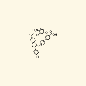 CC(C)N1CCC2(CCC(c3ccc(Cl)cc3)=C(CN3CCN(c4ccc(C(=O)O)c(Oc5cnc(N)c(Cl)c5)c4)CC3)C2)CC1